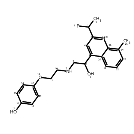 CC(F)c1cc(C(O)CNCCOc2ccc(O)cc2)c2cccc(C(F)(F)F)c2n1